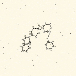 c1ccc(CCN2CCC[C@@H](CN3CCN(c4ccc5ccccc5n4)CC3)C2)cc1